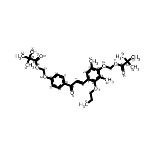 CCCOc1c(C=CC(=O)c2ccc(OCOC(=O)C(C)(C)C)cc2)cc(C)c(OCOC(=O)C(C)(C)C)c1C